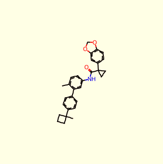 Cc1ccc(NC(=O)C2(c3ccc4c(c3)OCO4)CC2)cc1-c1ccc(C2(C)CCC2)cc1